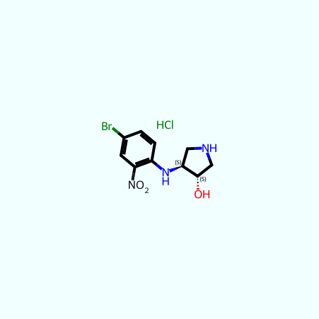 Cl.O=[N+]([O-])c1cc(Br)ccc1N[C@H]1CNC[C@@H]1O